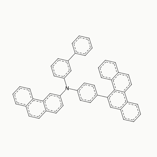 c1ccc(-c2cccc(N(c3ccc(-c4cc5ccccc5c5ccc6ccccc6c45)cc3)c3ccc4ccc5ccccc5c4c3)c2)cc1